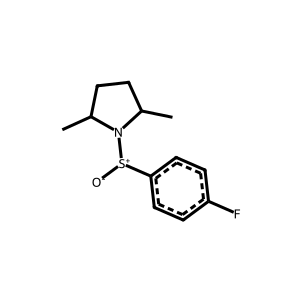 CC1CCC(C)N1[S+]([O-])c1ccc(F)cc1